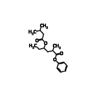 CCC(CC(C)C(=O)Oc1ccccc1)OC(=O)CC(C)C